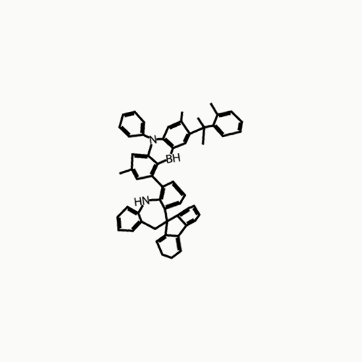 Cc1cc(-c2cccc3c2Nc2ccccc2CC32C3=CCCC=C3c3ccccc32)c2c(c1)N(c1ccccc1)c1cc(C)c(C(C)(C)c3ccccc3C)cc1B2